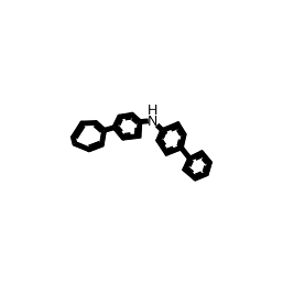 C1=CCC=CC(c2ccc(Nc3ccc(-c4ccccc4)cc3)cc2)=C1